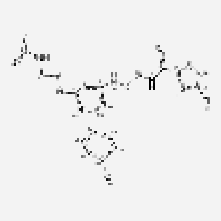 CC(=O)NCCNc1cc(NCCNC(=O)c2ccc(Cl)s2)nc(-c2ccc(Cl)cc2)n1